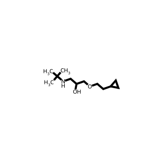 CC(C)(C)NCC(O)COCCC1CC1